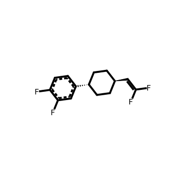 FC(F)=C[C@H]1CC[C@H](c2ccc(F)c(F)c2)CC1